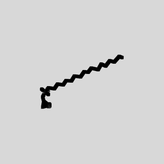 CCCCCCCCCCCCCCCCCC[N+](C)(C)CC1CO1